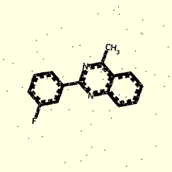 Cc1nc(-c2cccc(F)c2)nc2ccccc12